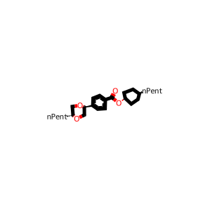 CCCCC[C@@H]1CO[C@@H](c2ccc(C(=O)O[C@H]3CC[C@H](CCCCC)CC3)cc2)CO1